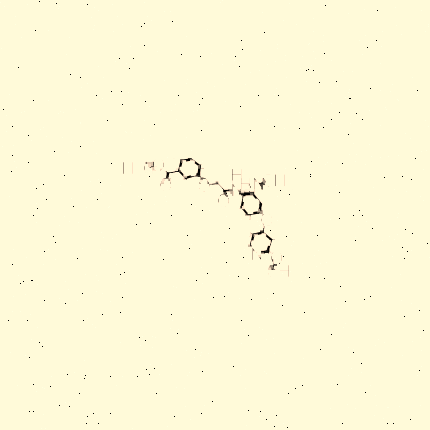 CNc1cc(Oc2ccnc(OC)c2)ccc1NC(=O)COc1cccc(C(=O)OC)c1